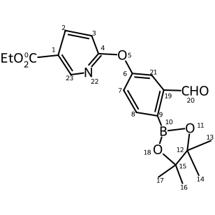 CCOC(=O)c1ccc(Oc2ccc(B3OC(C)(C)C(C)(C)O3)c(C=O)c2)nc1